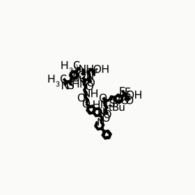 Cc1ncsc1-c1ccc([C@H](C)NC(=O)[C@@H]2C[C@@H](O)CN2C(=O)C(NC(=O)CNC(=O)COc2ccc3c(c2)CN(C(=O)C(NC(=O)c2cc4cc(C(F)(F)P(=O)(O)O)ccc4s2)C(C)(C)C)C(C(=O)N2CCCC(c4ccccc4)C2)C3)C(C)(C)C)cc1